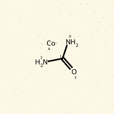 NC(N)=O.[Co]